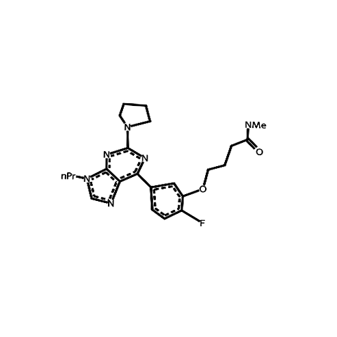 CCCn1cnc2c(-c3ccc(F)c(OCCCC(=O)NC)c3)nc(N3CCCC3)nc21